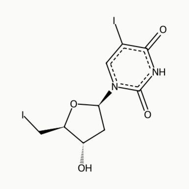 O=c1[nH]c(=O)n([C@H]2C[C@H](O)[C@@H](CI)O2)cc1I